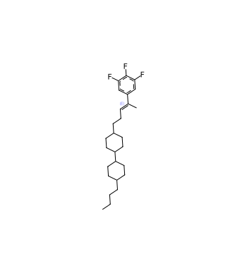 CCCCC1CCC(C2CCC(CC/C=C(\C)c3cc(F)c(F)c(F)c3)CC2)CC1